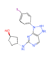 O[C@@H]1CC[C@@H](Nc2ncc3c(n2)N(c2ccc(I)cc2)NN3)C1